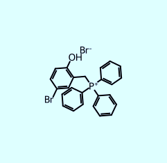 Oc1ccc(Br)cc1C[P+](c1ccccc1)(c1ccccc1)c1ccccc1.[Br-]